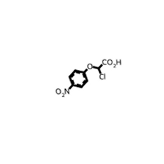 O=C(O)C(Cl)Oc1ccc([N+](=O)[O-])cc1